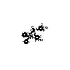 CCOc1c(F)cc(COC2=C(OCc3cc(F)c(OCC)c(Cl)c3)[C@@H]([C@H](CO)OP(=O)(OCc3ccccc3)OCc3ccccc3)OC2=O)cc1Cl